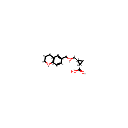 O=C(O)[C@H]1C[C@@H]1COCc1ccc2c(c1)CCCO2